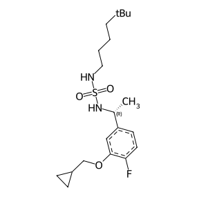 C[C@@H](NS(=O)(=O)NCCCCC(C)(C)C)c1ccc(F)c(OCC2CC2)c1